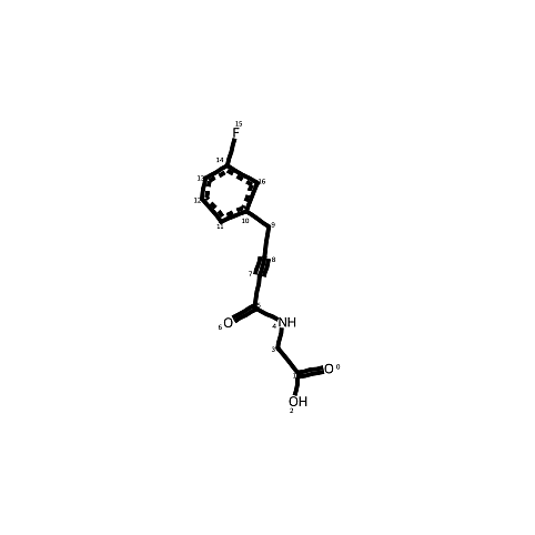 O=C(O)CNC(=O)C#CCc1cccc(F)c1